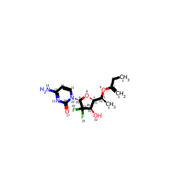 C=C(CC)O[C@@H](C)[C@H]1O[C@@H](n2ccc(N)nc2=O)C(F)(F)[C@@H]1O